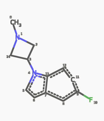 CN1CC(n2ccc3cc(F)ccc32)C1